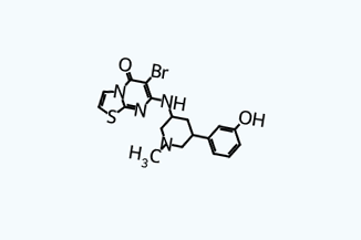 CN1CC(Nc2nc3sccn3c(=O)c2Br)CC(c2cccc(O)c2)C1